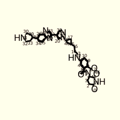 O=C1CCC(N2C(=O)c3ccc(NCCCC4CC(n5cc(-c6cnc7cc(C8CCNCC8)ccc7n6)cn5)C4)cc3C2=O)C(=O)N1